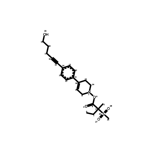 CCC(C)(C(=O)ON1CC=C(c2ccc(C#CCCCO)cc2)CC1)S(C)(=O)=O